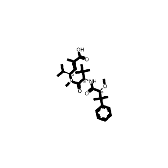 CO[C@@H](C(=O)N[C@H](C(=O)N(C)[C@H](C=C(C)C(=O)O)C(C)C)C(C)(C)C)C(C)(C)c1ccccc1